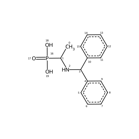 CC(NC(c1ccccc1)c1ccccc1)P(=O)(O)O